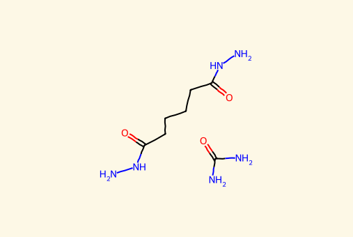 NC(N)=O.NNC(=O)CCCCC(=O)NN